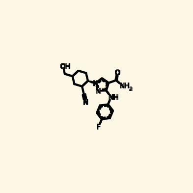 N#CC1CC(CO)CC[C@H]1n1cc(C(N)=O)c(Nc2ccc(F)cc2)n1